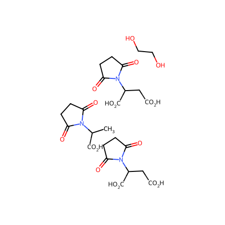 CC(C(=O)O)N1C(=O)CCC1=O.O=C(O)CC(C(=O)O)N1C(=O)CCC1=O.O=C(O)CC(C(=O)O)N1C(=O)CCC1=O.OCCO